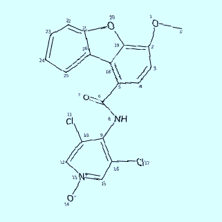 COc1ccc(C(=O)Nc2c(Cl)c[n+]([O-])cc2Cl)c2c1oc1ccccc12